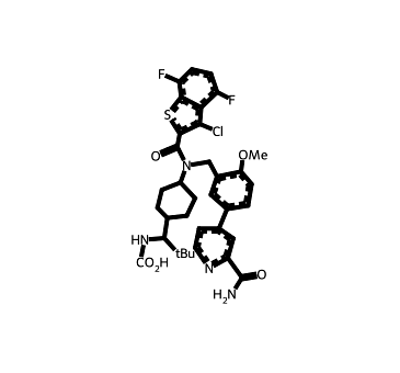 COc1ccc(-c2ccnc(C(N)=O)c2)cc1CN(C(=O)c1sc2c(F)ccc(F)c2c1Cl)C1CCC(C(NC(=O)O)C(C)(C)C)CC1